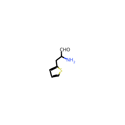 NC(C=O)Cc1cccs1